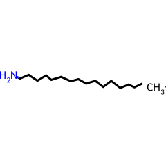 CCCCCCCCCCCCCCCCN.[CH3]